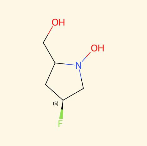 OCC1C[C@H](F)CN1O